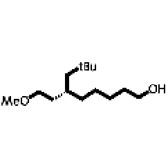 COCC[C@@H](CCCCCO)CC(C)(C)C